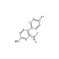 CC(C)c1ccc(-c2ccc(F)cc2)c([SH](C)C)c1